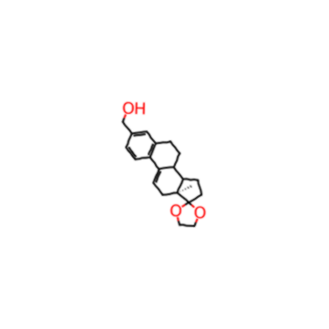 C[C@]12CC=C3c4ccc(CO)cc4CCC3C1CCC21OCCO1